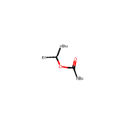 CCCCC(=O)OC(CC)CCCC